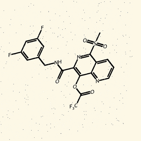 CS(=O)(=O)c1nc(C(=O)NCc2cc(F)cc(F)c2)c(OC(=O)C(F)(F)F)c2ncccc12